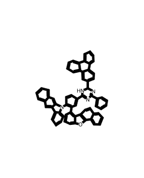 c1ccc(C2=NC(c3ccc4c5ccccc5c5ccccc5c4c3)NC(c3ccc(-n4c5ccccc5c5cc6ccccc6cc54)c(-c4cccc5oc6c7ccccc7ccc6c45)c3)=N2)cc1